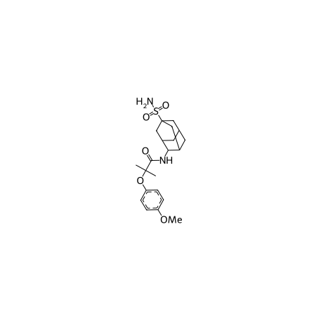 COc1ccc(OC(C)(C)C(=O)NC2C3CC4CC2CC(S(N)(=O)=O)(C4)C3)cc1